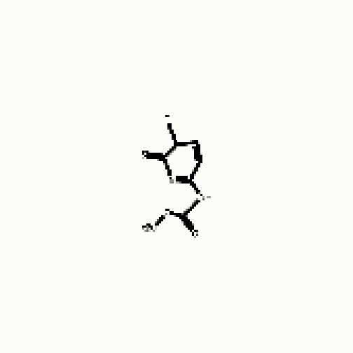 CC(C)(C)OC(=O)NC1=NC(=S)C(F)C=C1